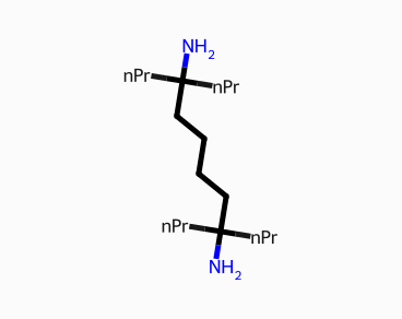 CCCC(N)(CCC)CCCCC(N)(CCC)CCC